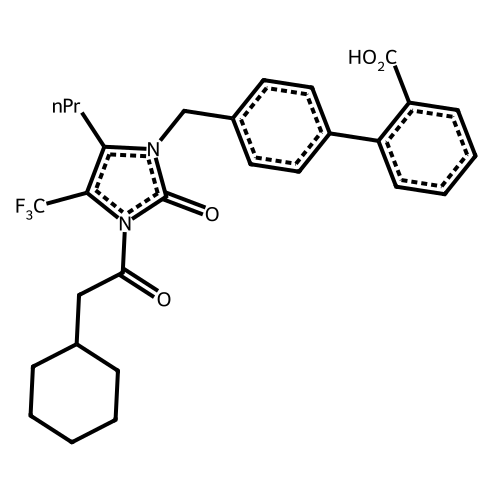 CCCc1c(C(F)(F)F)n(C(=O)CC2CCCCC2)c(=O)n1Cc1ccc(-c2ccccc2C(=O)O)cc1